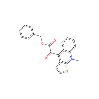 C[n+]1c2ccccc2c(C(=O)C(=O)OCc2ccccc2)c2ccsc21